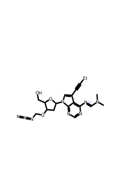 CCC#Cc1cn(C2CC(OCN=[N+]=[N-])C(CO)O2)c2ncnc(/N=C/N(C)C)c12